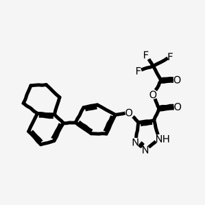 O=C(OC(=O)C(F)(F)F)c1[nH]nnc1Oc1ccc(-c2cccc3c2CCCC3)cc1